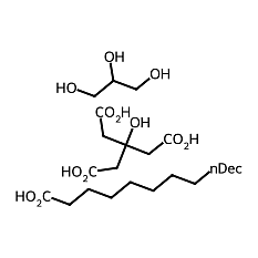 CCCCCCCCCCCCCCCCCC(=O)O.O=C(O)CC(O)(CC(=O)O)CC(=O)O.OCC(O)CO